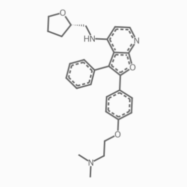 CN(C)CCOc1ccc(-c2oc3nccc(NC[C@@H]4CCCO4)c3c2-c2ccccc2)cc1